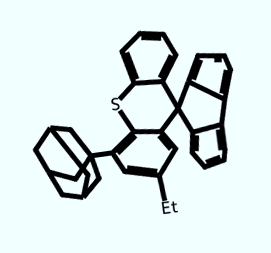 CCc1cc(C23CC4CC(CC(C4)C2)C3)c2c(c1)C1(c3ccccc3S2)c2ccccc2-c2ccccc21